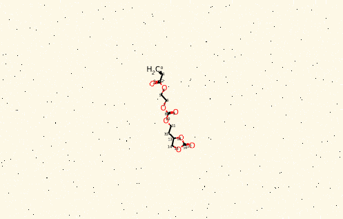 C=CC(=O)OCCOC(=O)OCCC1COC(=O)O1